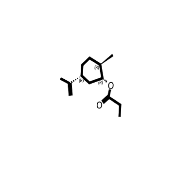 C=C(C)[C@@H]1CC[C@@H](C)[C@H](OC(=O)CC)C1